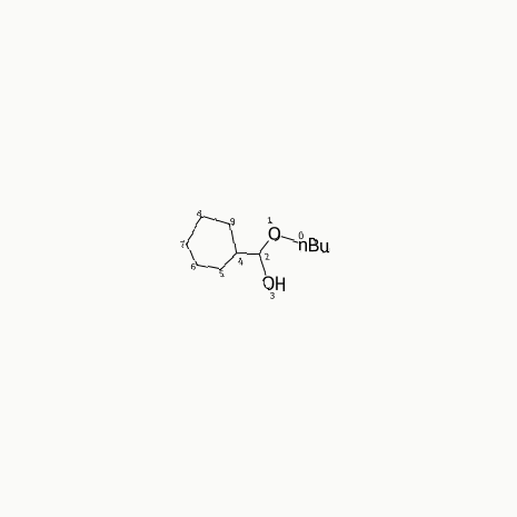 CCCCOC(O)C1CCCCC1